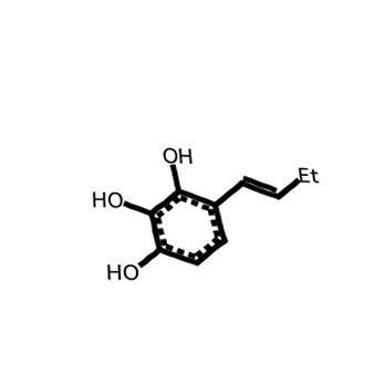 CCC=Cc1ccc(O)c(O)c1O